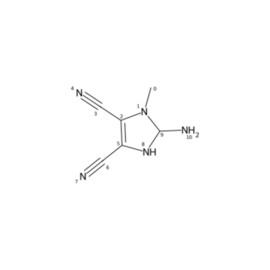 CN1C(C#N)=C(C#N)NC1N